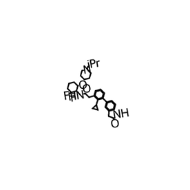 CC(C)N1CCC(O[C@H]2CCCC(F)(F)[C@@H]2NC(=O)Cc2cccc(-c3ccc4c(c3)CC(=O)N4)c2C2CC2)CC1